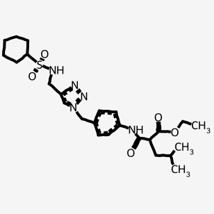 CCOC(=O)C(CC(C)C)C(=O)Nc1ccc(Cn2cc(CNS(=O)(=O)C3CCCCC3)nn2)cc1